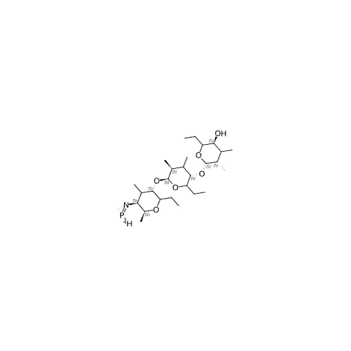 [4H]/P=N\[C@H]1C(C)[C@H](O[C@@H]2OC(CC)[C@@H](O[C@@H]3OC(CC)[C@@H](O)C(C)[C@@H]3C)C(C)[C@@H]2C)C(CC)O[C@H]1C